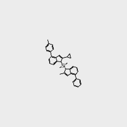 CC1=Cc2c(-c3ccccc3)cccc2C1[Si](C)(C)C1C(C2CC2)=Cc2c(-c3ccc(C)cc3)cccc21